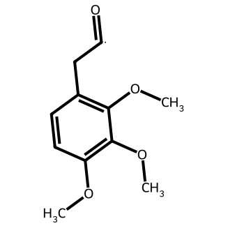 COc1ccc(C[C]=O)c(OC)c1OC